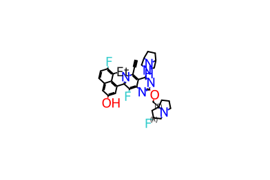 C#Cc1nc(-c2cc(O)cc3ccc(F)c(CC)c23)c(F)c2nc(OC[C@@]34CCCN3C[C@H](F)C4)nc(N3CC4CCC(C3)N4)c12